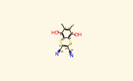 Cc1c(C)c(O)c2c(c1O)SC(C#N)=C(C#N)S2